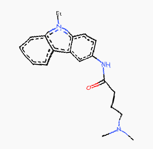 CCn1c2ccccc2c2cc(NC(=O)CCCN(C)C)ccc21